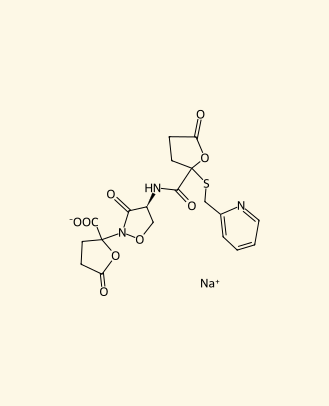 O=C1CCC(SCc2ccccn2)(C(=O)N[C@H]2CON(C3(C(=O)[O-])CCC(=O)O3)C2=O)O1.[Na+]